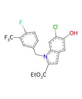 CCOC(=O)c1cc2cc(O)c(Cl)cc2n1Cc1ccc(F)c(C(F)(F)F)c1